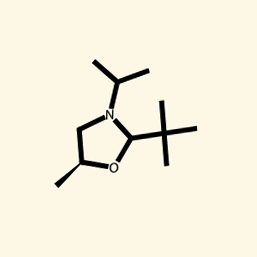 CC(C)N1C[C@H](C)OC1C(C)(C)C